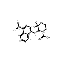 CC1(C)OCCN(C(=O)O)C1Oc1ccc([N+](=O)[O-])c2cccnc12